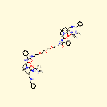 CN[C@@H](C)C(=O)N[C@@H]1C(=O)N2[C@@H](CC[C@@H]1CCNCc1ccccc1)CC[C@H]2C(=O)N[C@H](C(=O)NCCCOCCOCCOCCCNC(=O)[C@@H](NC(=O)[C@@H]1CC[C@@H]2CC[C@H](CCNCc3ccccc3)[C@H](NC(=O)[C@H](C)NC)C(=O)N21)c1ccccc1)c1ccccc1